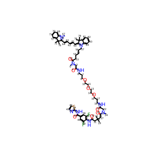 CN(CC(=O)NCCCOCCOCCOCCCNC(=O)CN(C)C(=O)CC(C)(C)CC(=O)Nc1c(F)cc(C(=O)Nc2nccs2)cc1F)C(=O)CCCCCN1/C(=C/C=C/C=C/C2=[N+](C)c3ccccc3C2(C)C)C(C)(C)c2ccccc21